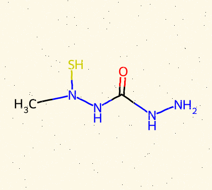 CN(S)NC(=O)NN